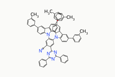 Cc1cccc(-c2ccc3c(c2)c2cc(-c4cccc(C)c4)ccc2n3-c2cc(C#N)c(-c3nc(-c4ccccc4)nc(-c4ccccc4)n3)cc2-n2c3ccc(-c4cccc(C)c4)cc3c3cc(-c4cccc(C)c4)ccc32)c1